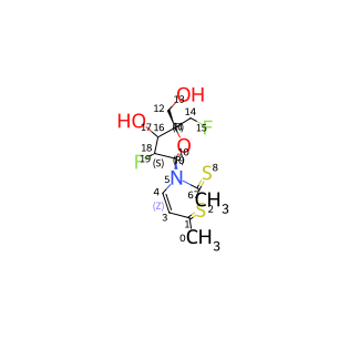 CC(=S)/C=C\N(C(C)=S)[C@@H]1O[C@@](CO)(CF)C(O)[C@@H]1F